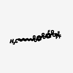 CCCCCCCCCC(=O)Oc1ccc(C(=O)Oc2ccc(C(=O)OCC(F)(F)F)c(F)c2)cc1